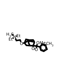 CC[N+](C)(CC)CCOC12CC3CC(C1)C1(OOC1(OC)c1cccc(C)c1)C(C3)C2